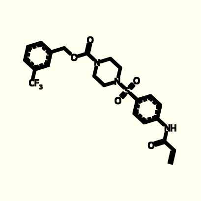 C=CC(=O)Nc1ccc(S(=O)(=O)N2CCN(C(=O)OCc3cccc(C(F)(F)F)c3)CC2)cc1